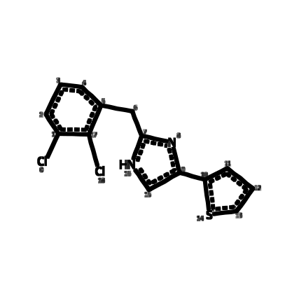 Clc1cccc(Cc2nc(-c3cccs3)c[nH]2)c1Cl